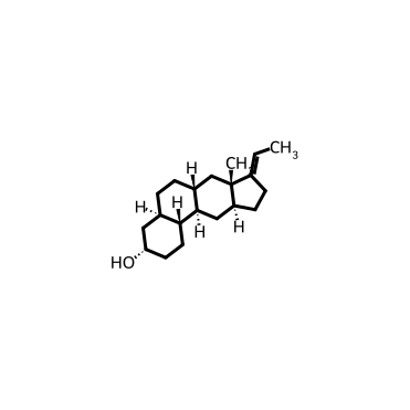 C/C=C1\CC[C@H]2C[C@@H]3[C@H](CC[C@@H]4C[C@@H](O)CC[C@H]43)C[C@]12C